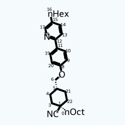 CCCCCCCC[C@]1(C#N)CC[C@H](COc2ccc(-c3ccc(CCCCCC)cn3)cc2)CC1